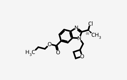 CCCOC(=O)c1ccc2nc([C@H](C)Cl)n(CC3CCO3)c2c1